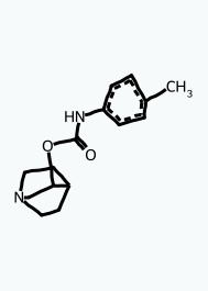 Cc1ccc(NC(=O)OC2CN3CCC2CC3)cc1